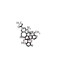 C=CC(=O)N1CC(C)N2c3nc(=O)n(-c4c(C)ccnc4C(C)C)c4c(F)c(-c5c(O)ccc(F)c5F)c(F)c(c34)NCCC2C1